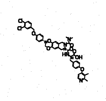 Cc1nccc(Oc2ccc(C[C@H](NC(=O)[C@@H]3Cc4cc5c(cc4CN3C(=O)N(C)C)O[C@@H](c3ccc(OCc4ccc(Cl)c(Cl)c4)cc3)CO5)C(=O)O)cc2)c1C